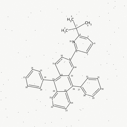 CC(C)(C)c1cccc(-c2ccc3c(-c4ccccc4)c4ccccc4c(-c4ccccc4)c3c2)n1